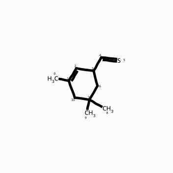 CC1=CC(C=S)CC(C)(C)C1